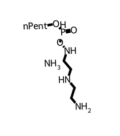 CCCCCO[PH](=O)ONCCNCCN.N